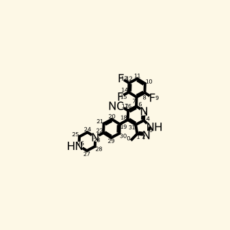 Cc1n[nH]c2nc(-c3c(F)ccc(F)c3F)c(C#N)c(-c3ccc(N4CCNCC4)cc3)c12